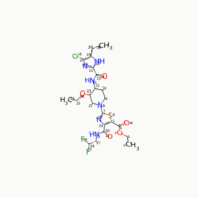 CCOC(=O)c1sc(N2CCC(NC(=O)c3nc(Cl)c(CC)[nH]3)C(OCC)C2)nc1C(=O)NCC(F)F